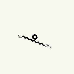 CCCCCCCCCCCC[CH2][Na].c1ccccc1